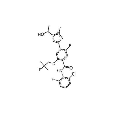 CC(O)c1cc(-c2cc(OCC(C)(C)F)c(C(=O)Nc3c(F)cccc3Cl)cc2F)nn1C